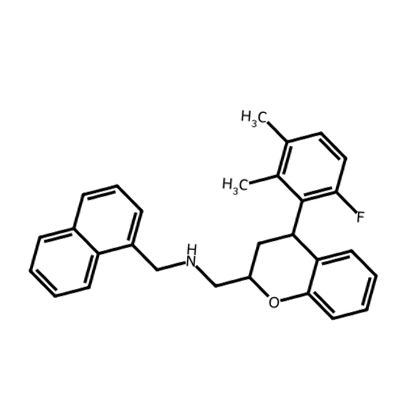 Cc1ccc(F)c(C2CC(CNCc3cccc4ccccc34)Oc3ccccc32)c1C